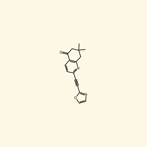 CC1(C)CC(=O)c2ccc(C#Cc3ncco3)nc2C1